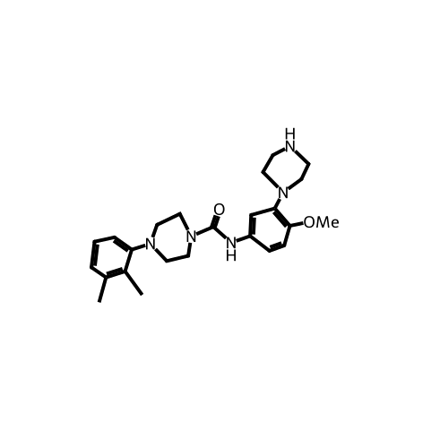 COc1ccc(NC(=O)N2CCN(c3cccc(C)c3C)CC2)cc1N1CCNCC1